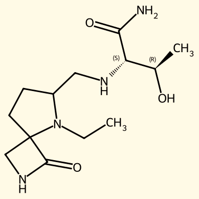 CCN1C(CN[C@H](C(N)=O)[C@@H](C)O)CCC12CNC2=O